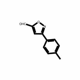 Cc1ccc(-c2cc(C=O)on2)cc1